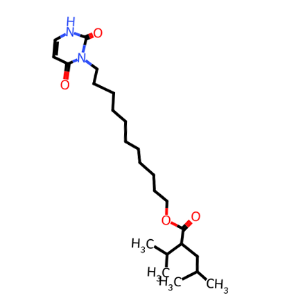 CC(C)CC(C(=O)OCCCCCCCCCCCn1c(=O)cc[nH]c1=O)C(C)C